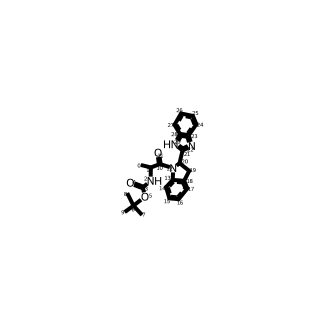 CC(NC(=O)OC(C)(C)C)C(=O)N1c2ccccc2CC1c1nc2ccccc2[nH]1